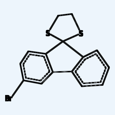 Brc1ccc2c(c1)-c1ccccc1C21SCCS1